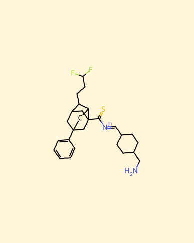 NCC1CCC(/C=N/C(=S)C23CC4CC(c5ccccc5)(CC2C4CCC(F)F)C3)CC1